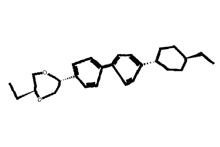 CC[C@H]1CO[C@H](c2ccc(-c3ccc([C@H]4CC[C@H](CC)CC4)cc3)cc2)CO1